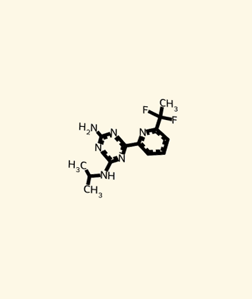 CC(C)Nc1nc(N)nc(-c2cccc(C(C)(F)F)n2)n1